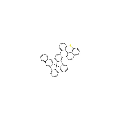 c1ccc2c(c1)-c1cc(-c3cccc4c3-c3cccc5cccc(c35)S4)ccc1C21c2ccccc2-c2cc3ccccc3cc21